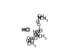 Cc1ccc2cccc(OCc3c(Cl)ccc(N(C)C(=O)CNC(=O)/C=C/c4ccc(OCCN(C)C)cc4)c3Cl)c2n1.Cl.Cl